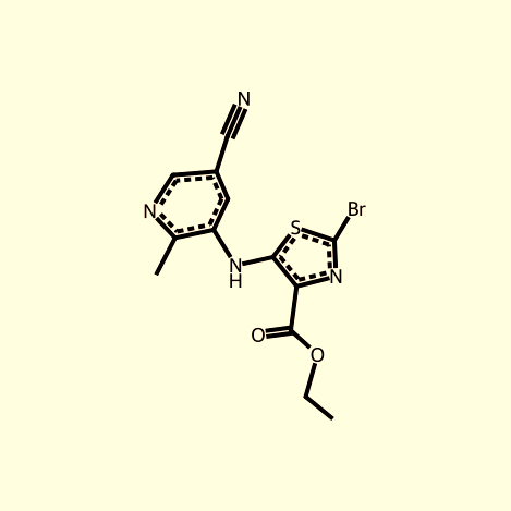 CCOC(=O)c1nc(Br)sc1Nc1cc(C#N)cnc1C